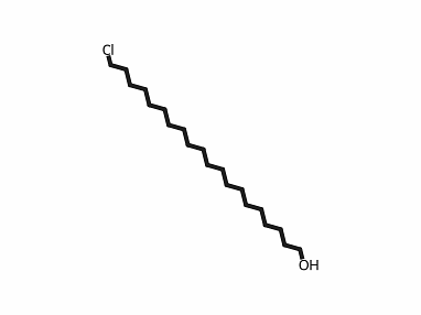 OCCCCCCCCCCCCCCCCCCCCCl